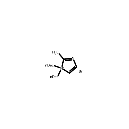 CCCCCCCCCC[N+]1(CCCCCCCCCC)C=CN=C1C.[Br-]